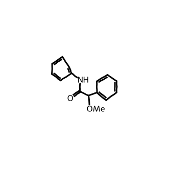 COC(C(=O)Nc1ccccc1)c1ccccc1